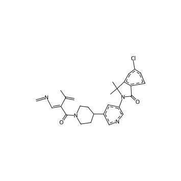 C=N/C=C(\C(=C)C)C(=O)N1CCC(c2cncc(N3C(=O)c4ccc(Cl)cc4C3(C)C)c2)CC1